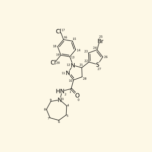 O=C(NN1CCCCCC1)C1=NN(c2ccc(Cl)cc2Cl)C(c2cc(Br)cs2)C1